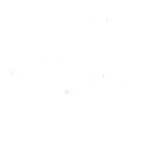 N#Cc1ccc(-c2c(-n3c4cc(C(F)(F)F)ccc4c4ccc(C(F)(F)F)cc43)cncc2-n2c3cc(C(F)(F)F)ccc3c3ccc(C(F)(F)F)cc32)cc1